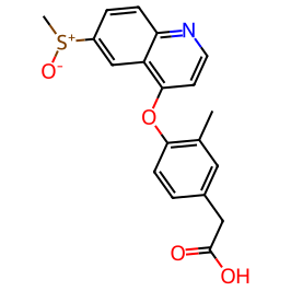 Cc1cc(CC(=O)O)ccc1Oc1ccnc2ccc([S+](C)[O-])cc12